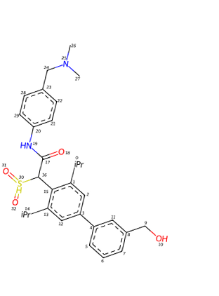 CC(C)c1cc(-c2cccc(CO)c2)cc(C(C)C)c1C(C(=O)Nc1ccc(CN(C)C)cc1)[SH](=O)=O